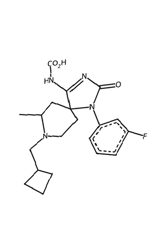 CC1CC2(CCN1CC1CCC1)C(NC(=O)O)=NC(=O)N2c1cccc(F)c1